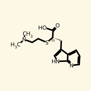 CN(C)CCS[C@@H](Cc1c[nH]c2ncccc12)C(=O)O